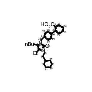 CCCCc1c(Cl)n(CCC2CCCCC2)c(=O)n1Cc1ccc(-c2ccccc2C(=O)O)cc1